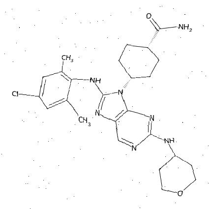 Cc1cc(Cl)cc(C)c1Nc1nc2cnc(NC3CCOCC3)nc2n1[C@H]1CC[C@@H](C(N)=O)CC1